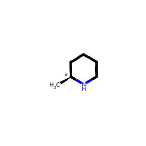 [CH2][C@H]1CCCCN1